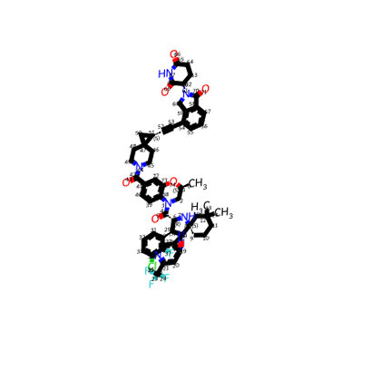 C[C@H]1CN(C(=O)[C@@H]2N[C@]3(CCCC(C)(C)C3)[C@@]3(CNc4cc(C(F)(F)F)ncc43)[C@H]2c2cccc(Cl)c2F)c2ccc(C(=O)N3CCC4(CC3)C[C@@H]4C#Cc3cccc4c3CN([C@H]3CCC(=O)NC3=O)C4=O)cc2O1